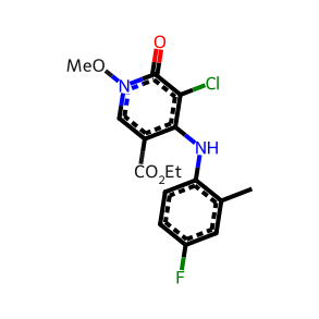 CCOC(=O)c1cn(OC)c(=O)c(Cl)c1Nc1ccc(F)cc1C